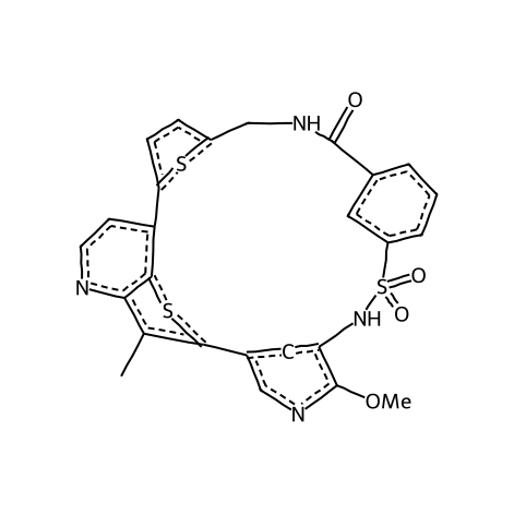 COc1ncc2cc1NS(=O)(=O)c1cccc(c1)C(=O)NCc1ccc(s1)-c1ccnc3c(C)c-2sc13